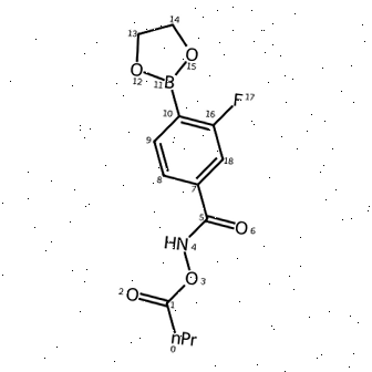 CCCC(=O)ONC(=O)c1ccc(B2OCCO2)c(F)c1